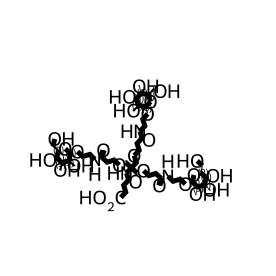 O=C(O)CCC(=O)NC(COCCC(=O)NCCO[C@H]1O[C@H](CO)[C@@H](O)[C@H](O)[C@@H]1O)(COCCC(=O)NCCO[C@H]1O[C@H](CO)[C@@H](O)[C@H](O)[C@@H]1O)COCCC(=O)NCCO[C@H]1O[C@H](CO)[C@@H](O)[C@H](O)[C@@H]1O